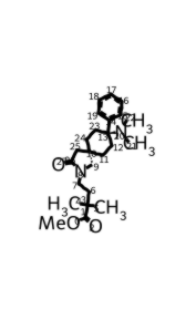 COC(=O)C(C)(C)CCN1C[C@]2(CC[C@](c3ccccc3)(N(C)C)CC2)CC1=O